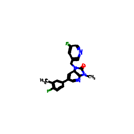 Cc1cc(-c2cnc3c(c2)n(Cc2cncc(F)c2)c(=O)n3C)ccc1F